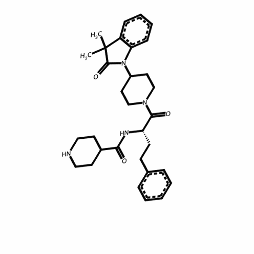 CC1(C)C(=O)N(C2CCN(C(=O)[C@H](CCc3ccccc3)NC(=O)C3CCNCC3)CC2)c2ccccc21